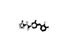 Cc1cccc(/C=C2\CCN(C(=O)Nc3nnnn3C)CC2C)c1F